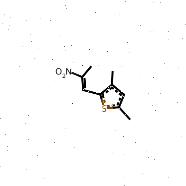 CC(=Cc1sc(C)cc1C)[N+](=O)[O-]